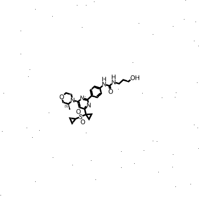 C[C@H]1COCCN1c1cc(C2(S(=O)(=O)C3CC3)CC2)nc(-c2ccc(NC(=O)NCCCO)cc2)n1